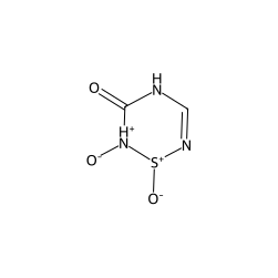 O=C1NC=N[S+]([O-])[NH+]1[O-]